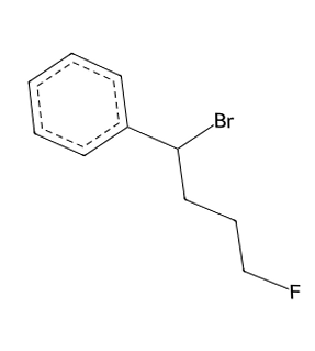 FCCCC(Br)c1ccccc1